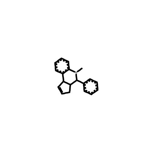 CN1c2ccccc2C2C=CCC2C1c1ccccc1